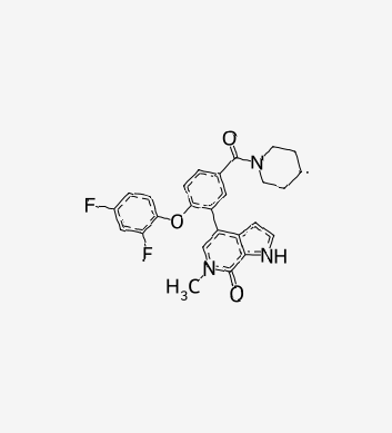 Cn1cc(-c2cc(C(=O)N3CC[CH]CC3)ccc2Oc2ccc(F)cc2F)c2cc[nH]c2c1=O